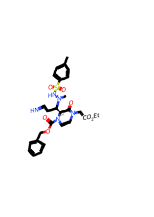 CCOC(=O)CN1C=CN(C(=O)OCc2ccccc2)[C@@H](C(CC=N)N(C)NS(=O)(=O)c2ccc(C)cc2)C1=O